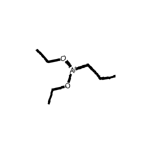 CC[CH2][Al]([O]CC)[O]CC